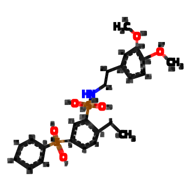 CCc1ccc(S(=O)(=O)c2ccccc2)cc1S(=O)(=O)NCCc1ccc(OC)c(OC)c1